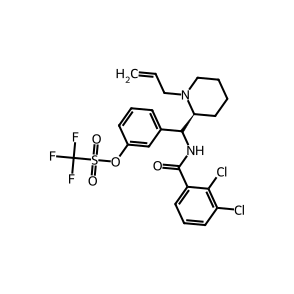 C=CCN1CCCC[C@H]1C(NC(=O)c1cccc(Cl)c1Cl)c1cccc(OS(=O)(=O)C(F)(F)F)c1